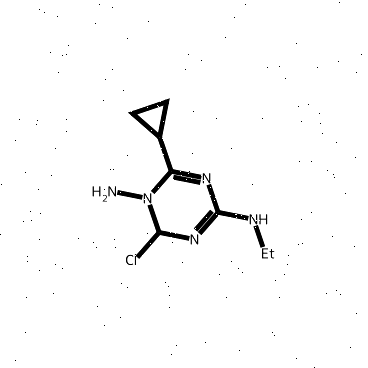 CCNC1=NC(Cl)N(N)C(C2CC2)=N1